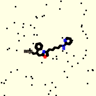 CCOC(=O)CC(Cc1nc(CCCCCNc2ccccn2)co1)c1ccccc1